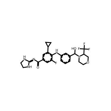 O=C(N=C1NCCN1)c1cc(F)c(Nc2cccc(C(O)N3CCOCC3C(F)(F)F)c2)c(C2CC2)c1